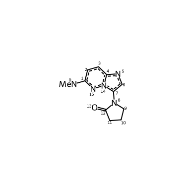 CNc1ccc2ncc(N3CCCC3=O)n2n1